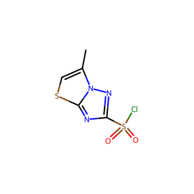 Cc1csc2nc(S(=O)(=O)Cl)nn12